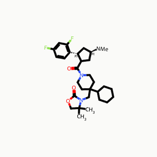 CN[C@H]1CC(C(=O)N2CCC(CN3C(=O)OCC3(C)C)(C3CCCCC3)CC2)[C@H](c2ccc(F)cc2F)C1